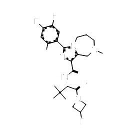 CN1CCCn2c(-c3cc(F)c(F)cc3F)nc(C(=O)N[C@H](C(=O)N3CC(F)C3)C(C)(C)C)c2C1